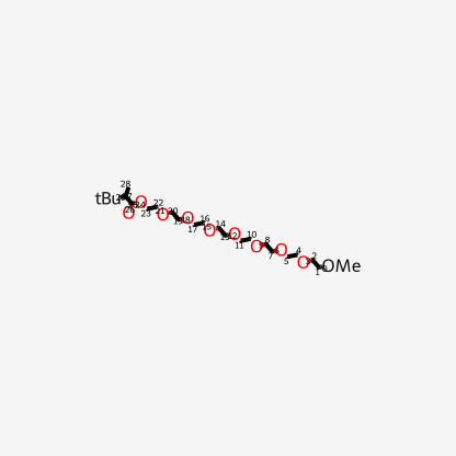 COCCOCCOCCOCCOCCOCCOCCOCCOC(=O)C(C)C(C)(C)C